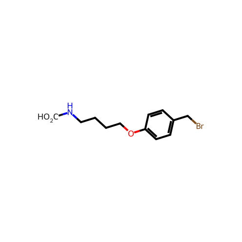 O=C(O)NCCCCOc1ccc(CBr)cc1